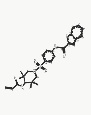 C=CC(=O)NC1C(C)(C)CN(S(=O)(=O)c2ccc(NC(=O)c3cc4ccccc4o3)cc2)CC1(C)C